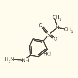 CN(C)S(=O)(=O)c1ccc(NN)cc1.Cl